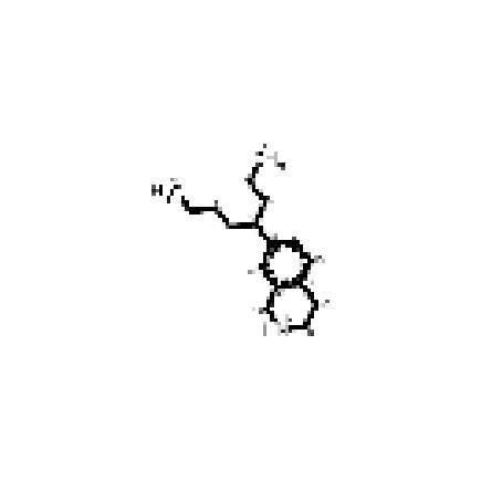 CCCCC(CCC)c1ccc2c(c1)CNCC2